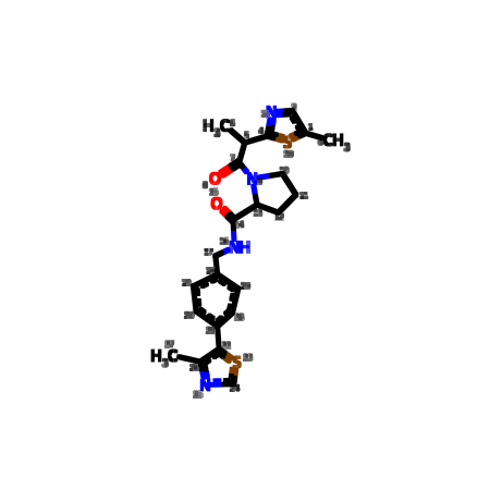 Cc1cnc(C(C)C(=O)N2CCCC2C(=O)NCc2ccc(-c3scnc3C)cc2)s1